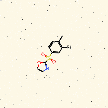 CCc1cc(S(=O)(=O)C2=NCCO2)ccc1C